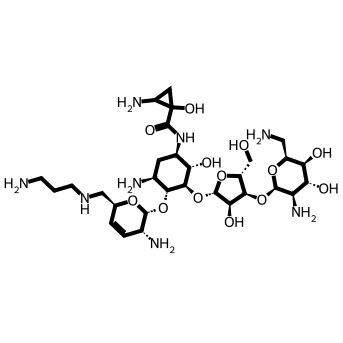 NCCCNC[C@@H]1C=C[C@@H](N)[C@@H](O[C@H]2[C@H](O[C@@H]3O[C@H](CO)[C@@H](O[C@H]4O[C@@H](CN)[C@@H](O)[C@H](O)[C@H]4N)[C@H]3O)[C@@H](O)[C@H](NC(=O)C3(O)CC3N)C[C@@H]2N)O1